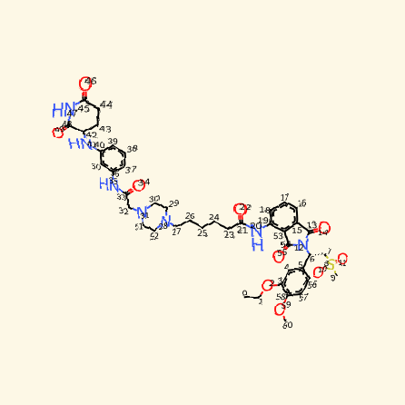 CCOc1cc([C@@H](CS(C)(=O)=O)N2C(=O)c3cccc(NC(=O)CCCCCN4CCN(CC(=O)Nc5cccc(NC6CCC(=O)NC6=O)c5)CC4)c3C2=O)ccc1OC